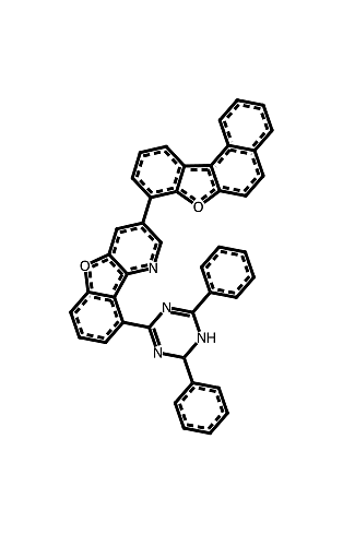 c1ccc(C2=NC(c3cccc4oc5cc(-c6cccc7c6oc6ccc8ccccc8c67)cnc5c34)=NC(c3ccccc3)N2)cc1